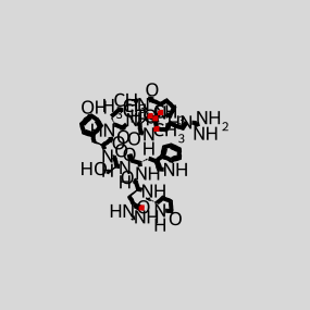 CCNC(=O)C1CCCN1C(O)C(CCCNC(=N)N)NC(=O)[C@H](CC(C)C)NC(=O)[C@@H](CC(C)C)NC(=O)[C@H](Cc1ccc(O)cc1)NC(=O)[C@H](CO)NC(=O)[C@H](Cc1c[nH]c2ccccc12)NC(=O)[C@H](CC1=CNCN1)NC(=O)[C@@H]1CCC(=O)N1